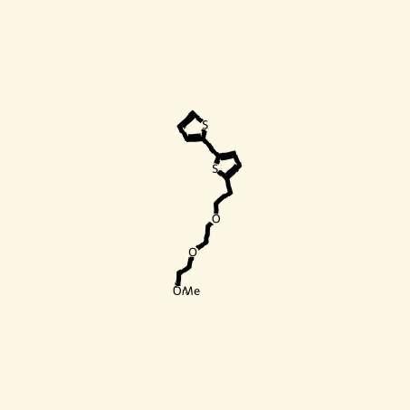 COCCOCCOCCc1ccc(-c2cccs2)s1